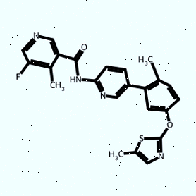 Cc1cnc(Oc2ccc(C)c(-c3ccc(NC(=O)c4cncc(F)c4C)nc3)c2)s1